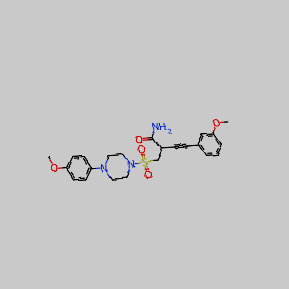 COc1ccc(N2CCN(S(=O)(=O)CC(C#Cc3cccc(OC)c3)C(N)=O)CC2)cc1